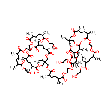 CCC(COC(=O)C(C)CCC(C)C(=O)OCCO)(COC(=O)C(C)CCC(C)C(=O)OCCOC(=O)C(C)CCC(C)C(=O)OCCO)COC(=O)C(C)CCC(C)C(=O)OCCOC(=O)C(C)CCC(C)C(=O)OCC(CC)(COC(=O)C(C)CCC(C)C(=O)OCCOC(=O)C(C)CCC(C)C(=O)OCCO)COC(=O)C(C)CCC(C)C(=O)OCCOC(=O)C(C)CCC(C)C(=O)OCCO